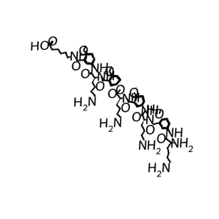 COc1ccc(NC(=O)[C@H](CCCCN)NC(=O)c2cc(OC(=O)[C@H](CCCCN)NC(=O)c3cc(NC(=O)[C@H](CCCCN)NC(=O)c4cc(NC(=O)[C@@H](N)CCCCN)ccc4OC)ccc3OC)ccc2OC)cc1C(=O)NCCCCCC(=O)O